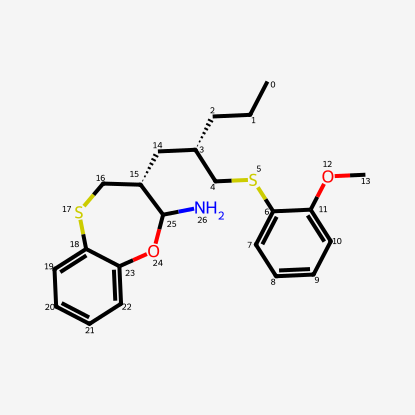 CCC[C@H](CSc1ccccc1OC)C[C@H]1CSc2ccccc2OC1N